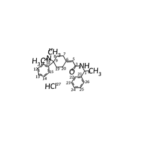 CC(NC(=O)C=C1CCC(c2ccccc2)(N(C)C)CC1)c1ccccc1.Cl